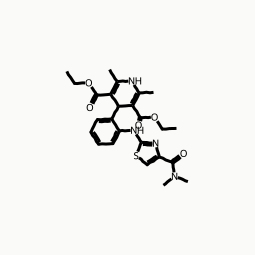 CCOC(=O)C1=C(C)NC(C)=C(C(=O)OCC)C1c1ccccc1Nc1nc(C(=O)N(C)C)cs1